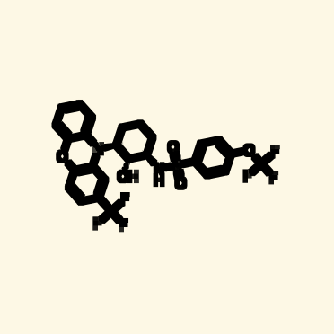 O=S(=O)(N[C@@H]1CCC[C@H](N2c3ccccc3Oc3ccc(C(F)(F)F)cc32)[C@H]1O)c1ccc(OC(F)(F)F)cc1